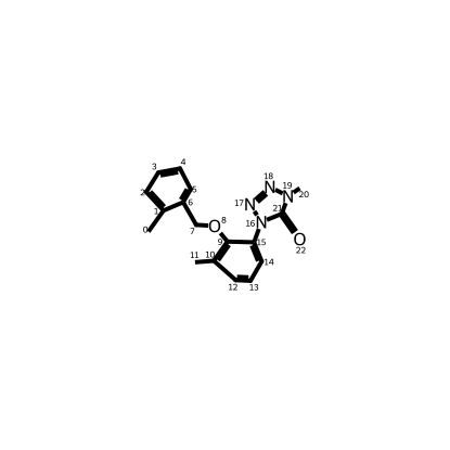 Cc1ccccc1COc1c(C)cccc1-n1nnn(C)c1=O